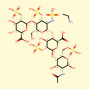 CC(=O)N[C@@H]1[C@@H](O)[C@H](O[C@@H]2O[C@H](C(=O)O)[C@@H](O[C@@H]3O[C@H](CO)[C@@H](O[C@H]4O[C@@H](C(=O)O)[C@H](O)[C@@H](O)[C@@H]4OS(=O)(=O)O)[C@H](OS(=O)(=O)O)[C@H]3NS(=O)(=O)O)[C@H](O)[C@H]2OS(=O)(=O)O)[C@H](COS(=O)(=O)O)O[C@H]1O.C[CH]N